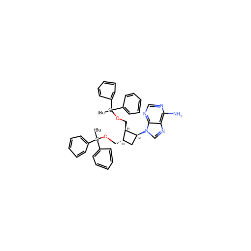 CC(C)(C)[Si](OC[C@H]1C[C@H](n2cnc3c(N)ncnc32)[C@@H]1CO[Si](c1ccccc1)(c1ccccc1)C(C)(C)C)(c1ccccc1)c1ccccc1